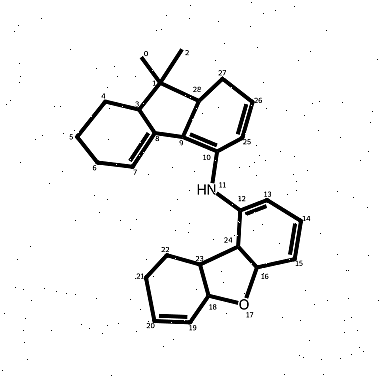 CC1(C)C2CCCC=C2C2=C(NC3=CC=CC4OC5C=CCCC5C34)C=CCC21